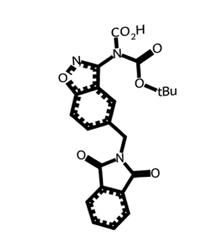 CC(C)(C)OC(=O)N(C(=O)O)c1noc2ccc(CN3C(=O)c4ccccc4C3=O)cc12